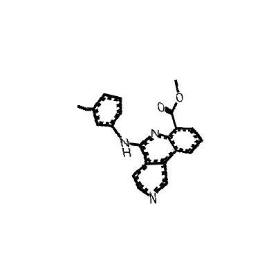 COC(=O)c1cccc2c1nc(Nc1cccc(C)c1)c1ccncc12